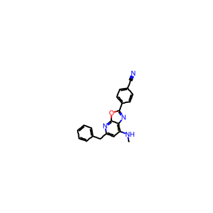 CNc1cc(Cc2ccccc2)nc2oc(-c3ccc(C#N)cc3)nc12